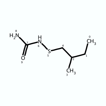 CCC(C)CSNC(N)=O